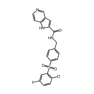 O=C(NCc1ccc(S(=O)(=O)c2cc(F)ccc2Cl)cc1)c1cc2cnccc2[nH]1